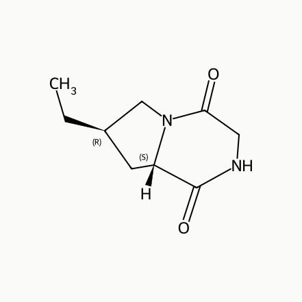 CC[C@@H]1C[C@H]2C(=O)NCC(=O)N2C1